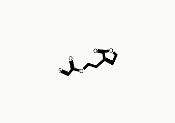 O=C(C=S)OCCC1=CCOC1=O